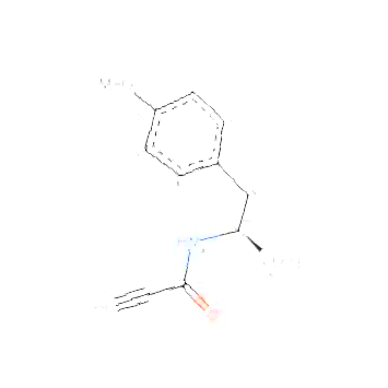 C#CC(=O)N[C@@H](Cc1ccc(OC)cc1)C(=O)O